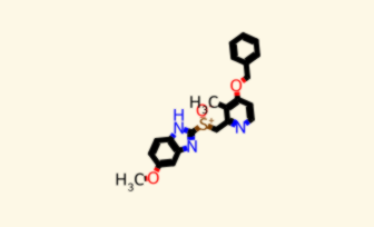 COc1ccc2[nH]c([S+]([O-])Cc3nccc(OCc4ccccc4)c3C)nc2c1